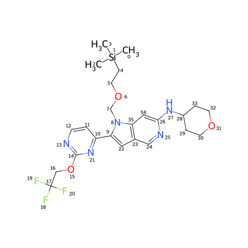 C[Si](C)(C)CCOCn1c(-c2ccnc(OCC(F)(F)F)n2)cc2cnc(NC3CCOCC3)cc21